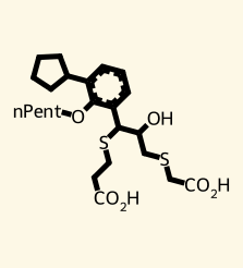 CCCCCOc1c(C2CCCC2)cccc1C(SCCC(=O)O)C(O)CSCC(=O)O